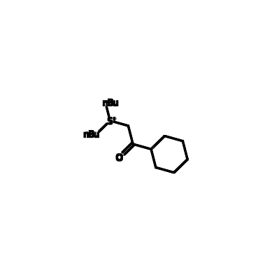 CCCC[S+](CCCC)CC(=O)C1CCCCC1